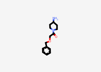 NC1CCN(C(=O)COCc2ccccc2)CC1